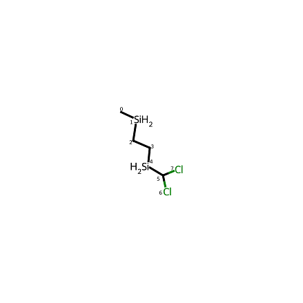 C[SiH2]CC[SiH2]C(Cl)Cl